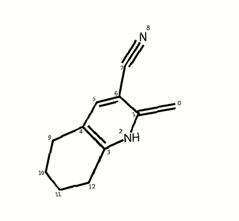 C=C1NC2=C(C=C1C#N)CCCC2